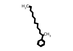 C=CCCCCCCCCCC(C)c1ccccc1